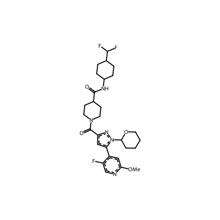 COc1cc(-c2cc(C(=O)N3CCC(C(=O)NC4CCC(C(F)F)CC4)CC3)nn2C2CCCCO2)c(F)cn1